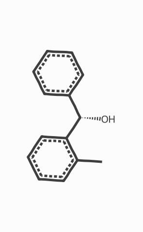 Cc1ccccc1[C@@H](O)c1ccccc1